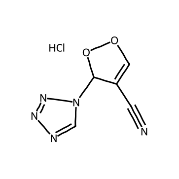 Cl.N#CC1=COOC1n1cnnn1